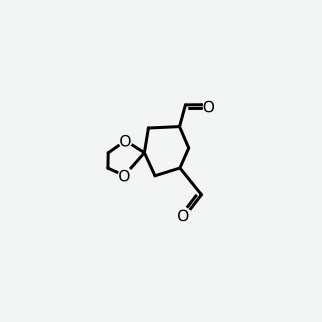 O=CC1CC(C=O)CC2(C1)OCCO2